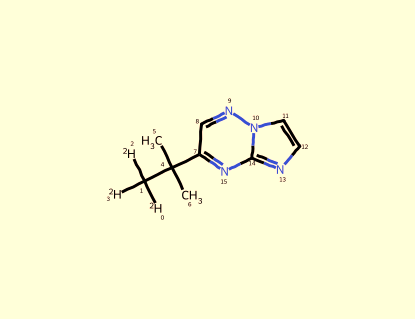 [2H]C([2H])([2H])C(C)(C)c1cnn2ccnc2n1